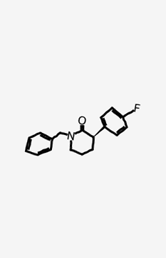 O=C1[C@@H](c2ccc(F)cc2)CCCN1Cc1ccccc1